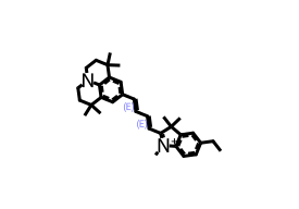 CCc1ccc2c(c1)C(C)(C)C(/C=C/C=C/c1cc3c4c(c1)C(C)(C)CCN4CCC3(C)C)=[N+]2C